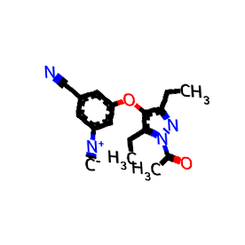 [C-]#[N+]c1cc(C#N)cc(Oc2c(CC)nn(C(C)=O)c2CC)c1